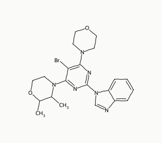 CC1OCCN(c2nc(-n3cnc4ccccc43)nc(N3CCOCC3)c2Br)C1C